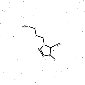 CCCCCCCCCCCCCN1C=CN(C)C1CCCCCCCC